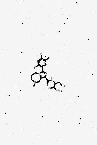 CNC(=O)C(CC(C)C)NC(=O)c1nc(-c2cc(F)c(F)cc2F)n2c1CN(C)CCC2